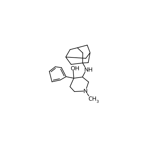 CN1CCC(O)(c2ccccc2)C(NC23CC4CC(CC(C4)C2)C3)C1